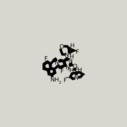 [2H]C([2H])(Oc1nc(N2CCOC[C@H]3[C@H](F)[C@H]32)c2cnc(-c3cc(N)cc4ccc(F)c(C#C)c34)c(F)c2n1)[C@@]12CCCN1C[C@H](CF)C2